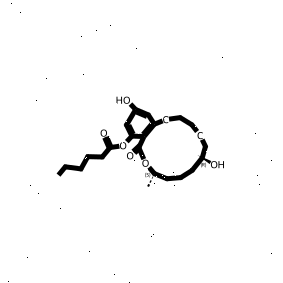 CCCCCC(=O)Oc1cc(O)cc2c1C(=O)O[C@@H](C)CCC[C@H](O)CCCCC2